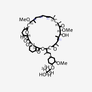 [2H]C([2H])(O)C([2H])([2H])O[C@@H]1CC[C@@H](C[C@@H](C)[C@@H]2CC(=O)[C@H](C)/C=C(\C)[C@@H](O)[C@@H](OC)C(=O)[C@H](C)C[C@H](C)/C=C/C=C/C=C(\C)[C@@H](OC)C[C@@H]3CC[C@@H](C)[C@@](O)(O3)C(=O)C(=O)N3CCCC[C@H]3C(=O)O2)C[C@H]1OC